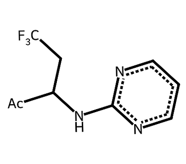 CC(=O)C(CC(F)(F)F)Nc1ncccn1